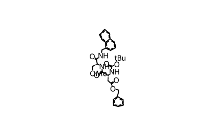 COC[C@H](NC(=O)[C@H](CC(=O)OCc1ccccc1)NC(=O)OC(C)(C)C)C(=O)NCc1cccc2ccccc12